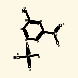 CS(=O)(=O)O.O=[N+]([O-])c1ccc[c]([Na])c1